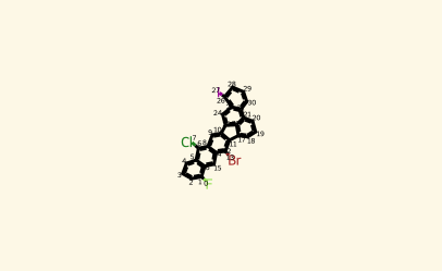 Fc1cccc2c(Cl)c3cc4c(c(Br)c3cc12)-c1cccc2c1c-4cc1c(I)cccc12